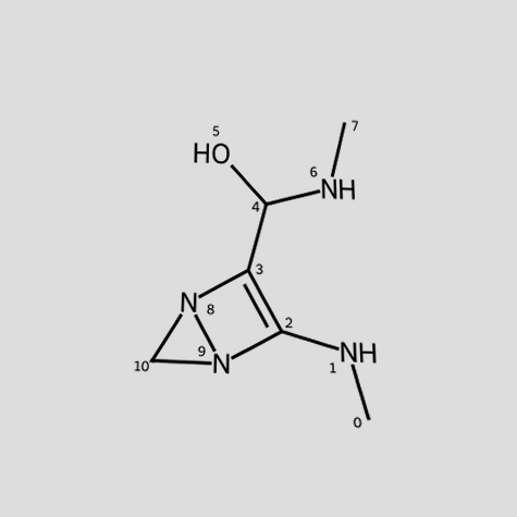 CNc1c(C(O)NC)n2n1C2